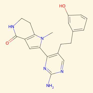 Cn1c(-c2nc(N)ncc2CCc2cccc(O)c2)cc2c1CCNC2=O